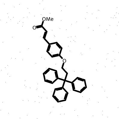 COC(=O)C=Cc1ccc(OCCC(c2ccccc2)(c2ccccc2)c2ccccc2)cc1